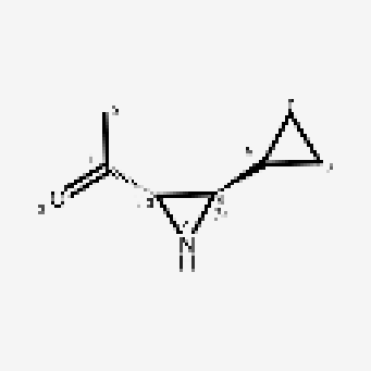 CC(=O)[C@H]1N[C@@H]1C1CC1